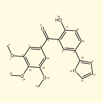 COc1cc(C(=O)c2cc(-c3ccco3)ccc2O)cc(OC)c1OC